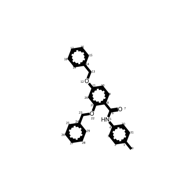 Cc1ccc(NC(=O)c2ccc(OCc3ccccc3)cc2OCc2ccccc2)cc1